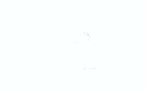 CCCCCOCCC(CCO)OS(=O)(=O)OC.N